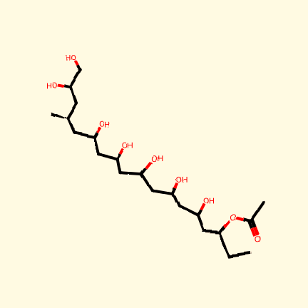 CCC(CC(O)CC(O)CC(O)CC(O)CC(O)C[C@@H](C)CC(O)CO)OC(C)=O